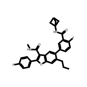 CCCc1cc2oc(-c3ccc(F)cc3)c(C(=O)NC)c2cc1-c1ccc(F)c(C(=O)NC23CC(C2)C3)c1